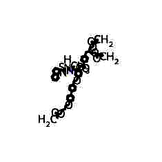 C=CC(=O)OCCCOc1ccc(-c2ccc(COc3ccc(OC(=O)c4ccc(CC(COC(=O)C=C)COC(=O)C=C)cc4)c(/C(C)=N/Nc4nc5c(ccc6ccccc65)s4)c3)cc2)cc1